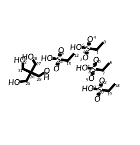 CCS(=O)(=O)O.CCS(=O)(=O)O.CCS(=O)(=O)O.CCS(=O)(=O)O.OCC(CO)(CO)CO